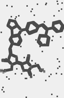 CCN1C(=O)/C(=c2\s/c(=C\c3ccc4c(c3)C3CCCC3N4c3ccc(C=C(c4ccccc4)c4ccccc4)cc3)c(=O)n2CC)SC1=S